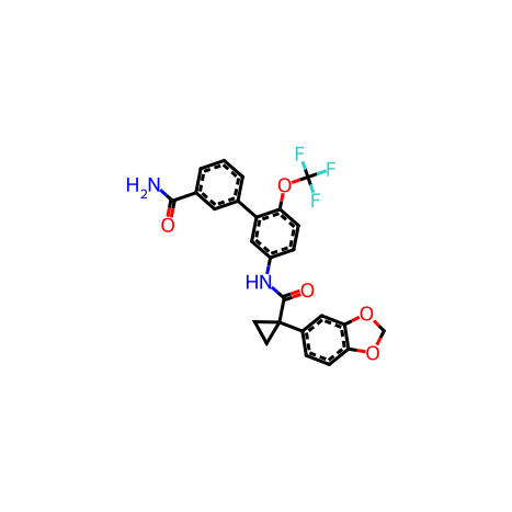 NC(=O)c1cccc(-c2cc(NC(=O)C3(c4ccc5c(c4)OCO5)CC3)ccc2OC(F)(F)F)c1